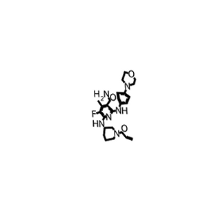 C=CC(=O)N1CCCC(Nc2nc(Nc3ccc(N4CCOCC4)cc3)c(C(N)=O)c(C)c2F)C1